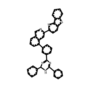 c1ccc(C2=NC(c3cccc(-c4cccc5cnc(-c6ccc7sc8ccccc8c7n6)cc45)c3)=NC(c3ccccc3)N2)cc1